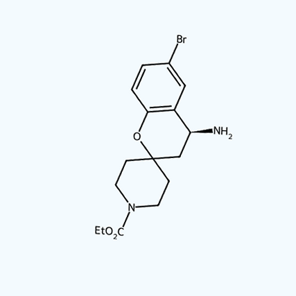 CCOC(=O)N1CCC2(CC1)C[C@H](N)c1cc(Br)ccc1O2